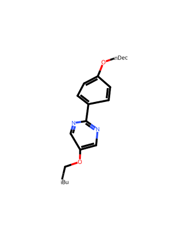 CCCCCCCCCCOc1ccc(-c2ncc(OCC(C)CC)cn2)cc1